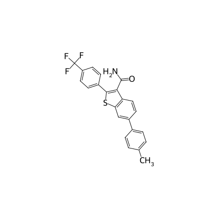 Cc1ccc(-c2ccc3c(C(N)=O)c(-c4ccc(C(F)(F)F)cc4)sc3c2)cc1